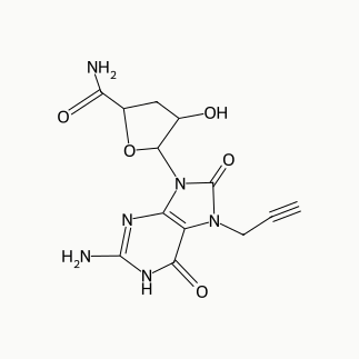 C#CCn1c(=O)n(C2OC(C(N)=O)CC2O)c2nc(N)[nH]c(=O)c21